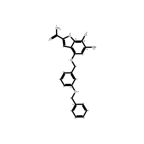 CC(=O)c1cc2c(OCc3cccc(OCc4ccccc4)c3)cc(O)c(Cl)c2o1